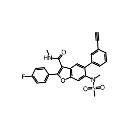 C#Cc1cccc(-c2cc3c(C(=O)NC)c(-c4ccc(F)cc4)oc3cc2N(C)S(C)(=O)=O)c1